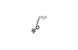 Cn1cc(-c2cccc(CCOCCC(=O)O)c2)nn1